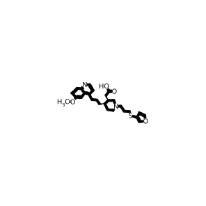 COc1ccc2nccc(CCC[C@@H]3CCN(CCCSc4ccoc4)C[C@@H]3CC(=O)O)c2c1